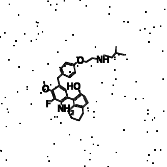 COc1c(Cc2ccc(OCCNCCC(C)C)cc2)cc(-c2c(O)ccc3c2CCCC3)c(N)c1F